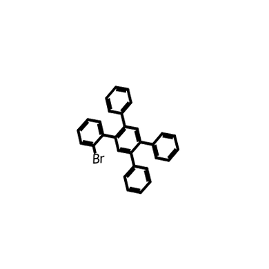 Brc1ccccc1-c1cc(-c2ccccc2)c(-c2ccccc2)cc1-c1ccccc1